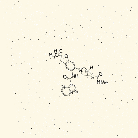 CNC(=O)[C@@H]1C2CN(c3cc4c(cc3NC(=O)c3cnn5cccnc35)CC(C)(C)O4)C[C@H]21